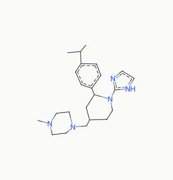 CC(C)c1ccc(C2CC(CN3CCN(C)CC3)CCN2c2ncc[nH]2)cc1